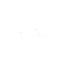 CCN1CCN(S(=O)(=O)c2[c]c(C)cc([N+](=O)[O-])c2)CC1